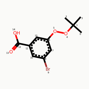 CC(C)(C)OOc1cc(Br)cc(C(=O)O)c1